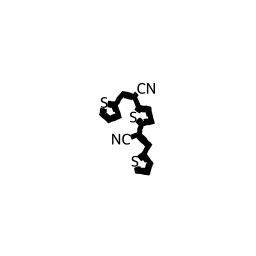 N#CC(=Cc1cccs1)c1ccc(C(C#N)=Cc2cccs2)s1